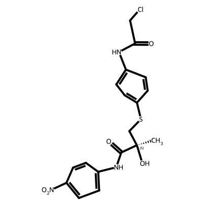 C[C@@](O)(CSc1ccc(NC(=O)CCl)cc1)C(=O)Nc1ccc([N+](=O)[O-])cc1